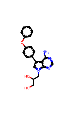 Nc1ncnc2c1c(-c1ccc(Oc3ccccc3)cc1)cn2CC(O)CO